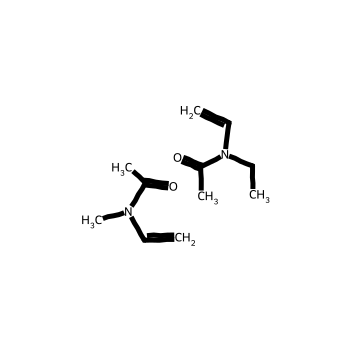 C=CN(C)C(C)=O.C=CN(CC)C(C)=O